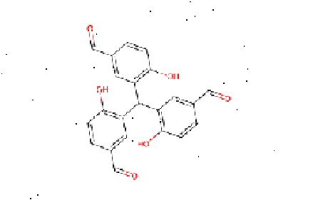 O=Cc1ccc(O)c(C(c2cc(C=O)ccc2O)c2cc(C=O)ccc2O)c1